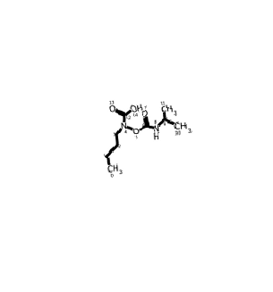 CCCCN(OC(=O)NC(C)C)C(=O)O